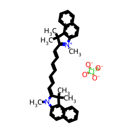 CN1/C(=C/C=C/C=CC=CC2=[N+](C)c3ccc4ccccc4c3C2(C)C)C(C)(C)c2c1ccc1ccccc21.[O-][Cl+3]([O-])([O-])[O-]